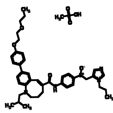 CCCOCCOc1ccc(-c2ccc3c(c2)C=C(C(=O)Nc2ccc([S+]([O-])Cc4cncn4CCC)cc2)CCCN3CC(C)C)cc1.CS(=O)(=O)O